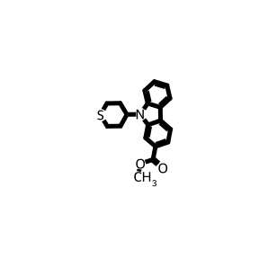 COC(=O)c1ccc2c3ccccc3n(C3CCSCC3)c2c1